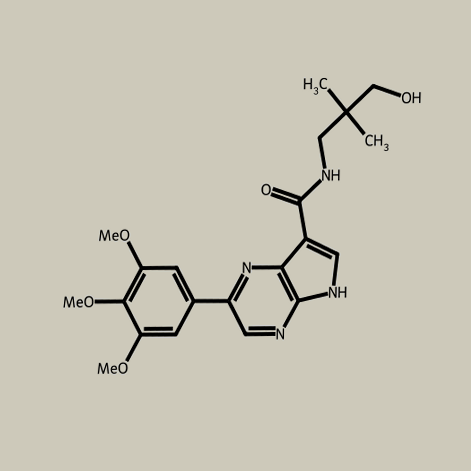 COc1cc(-c2cnc3[nH]cc(C(=O)NCC(C)(C)CO)c3n2)cc(OC)c1OC